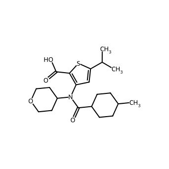 CC1CCC(C(=O)N(c2cc(C(C)C)sc2C(=O)O)C2CCOCC2)CC1